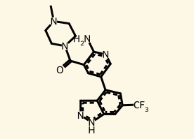 CN1CCN(C(=O)c2cc(-c3cc(C(F)(F)F)cc4[nH]ncc34)cnc2N)CC1